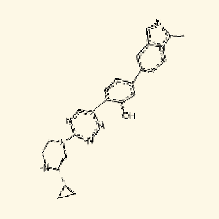 Cc1ncc2cc(-c3ccc(-c4cnc(N5CCN[C@@H](C6CC6)C5)nn4)c(O)c3)ccn12